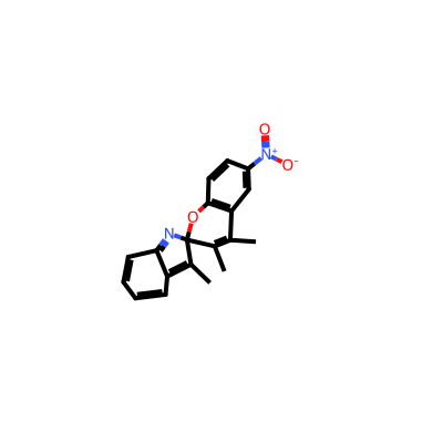 CC1=C(C)C2(N=c3ccccc3=C2C)Oc2ccc([N+](=O)[O-])cc21